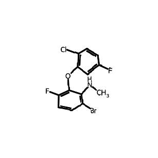 CNc1c(Br)ccc(F)c1Oc1cc(F)ccc1Cl